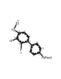 CCCCCc1ccc(-c2ccc(OCC)c(F)c2F)cc1